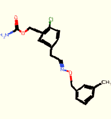 Cc1cccc(CON=CCc2ccc(Cl)c(COC(N)=O)c2)c1